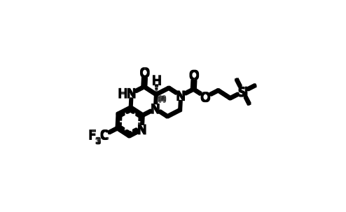 C[Si](C)(C)CCOC(=O)N1CCN2c3ncc(C(F)(F)F)cc3NC(=O)[C@H]2C1